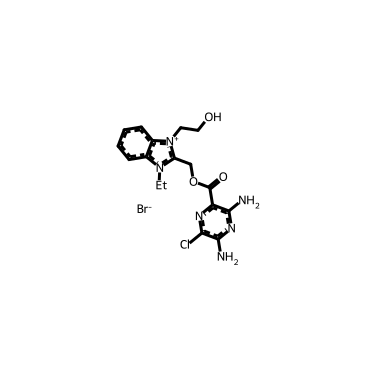 CCn1c(COC(=O)c2nc(Cl)c(N)nc2N)[n+](CCO)c2ccccc21.[Br-]